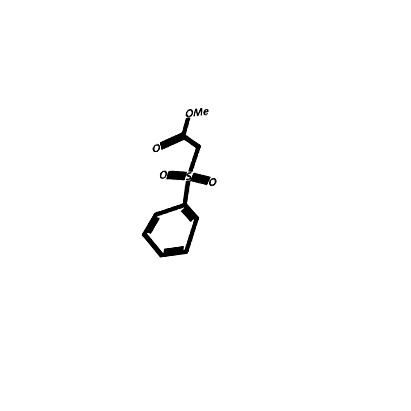 COC(=O)CS(=O)(=O)c1ccccc1